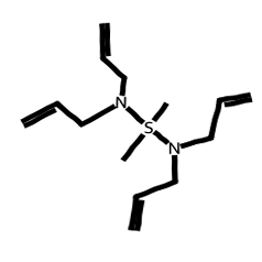 C=CCN(CC=C)S(C)(C)N(CC=C)CC=C